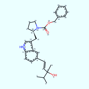 CC(C)C(C)(O)C=Cc1ccc2[nH]cc(C[C@H]3CCCN3C(=O)OCc3ccccc3)c2c1